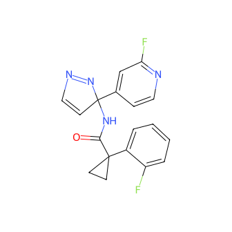 O=C(NC1(c2ccnc(F)c2)C=CN=N1)C1(c2ccccc2F)CC1